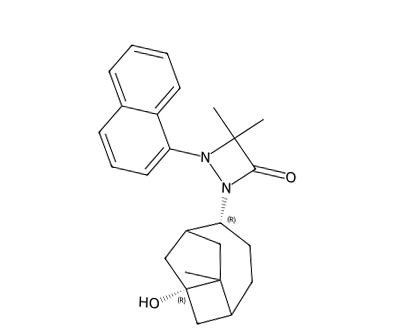 CC1(C)C(=O)N([C@@H]2CCC3C[C@@]4(O)CC2CC34C)N1c1cccc2ccccc12